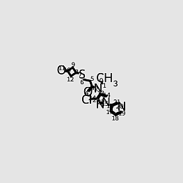 CCN(C(=O)CCSC1CC(=O)C1)c1cn(-c2cccnc2)nc1Cl